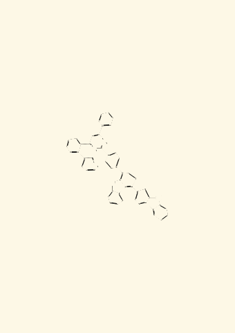 c1ccc(-c2cc(-c3ccccc3-c3cccnc3)nc(-c3ccc(-c4ccc(-c5ccc6c(c5)oc5ccccc56)c5c4oc4ccccc45)cc3)n2)cc1